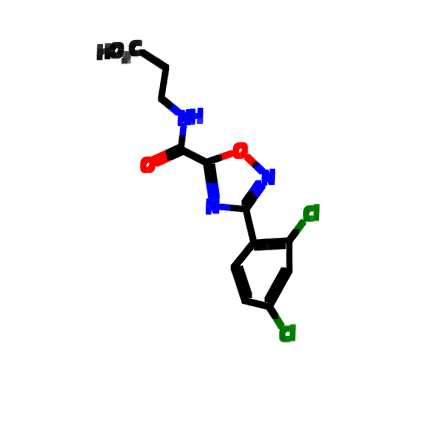 O=C(O)CCNC(=O)c1nc(-c2ccc(Cl)cc2Cl)no1